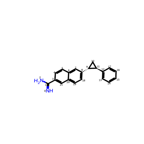 N=C(N)c1ccc2cc([C@@H]3C[C@H]3c3ccccc3)ccc2c1